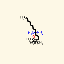 CCCCCCCCC(N)(N)C1CC[Si](C)(C)[Si](C)(C)O1